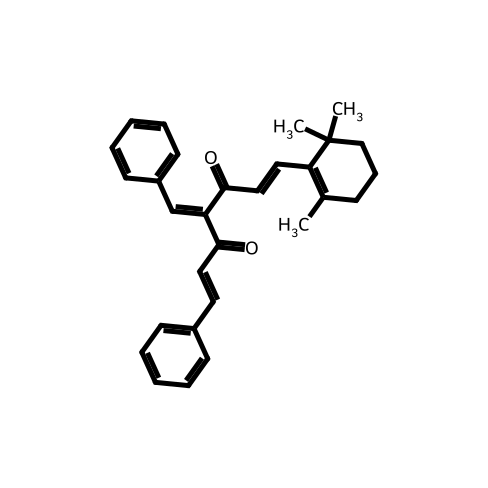 CC1=C(/C=C/C(=O)/C(=C\c2ccccc2)C(=O)/C=C/c2ccccc2)C(C)(C)CCC1